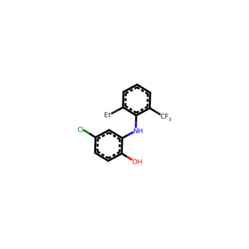 CCc1cccc(C(F)(F)F)c1Nc1cc(Cl)ccc1O